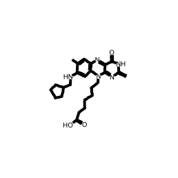 C=c1nc2c(c(=O)[nH]1)=Nc1cc(C)c(NCC3CCCC3)cc1N2CCCCCCC(=O)O